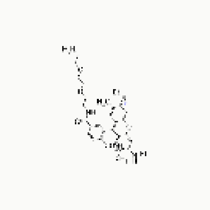 CC/N=c1/cc2oc3cc(NCC)c(C)cc3c(-c3cc(C(=O)NCCOCCOCCN)ccc3C(=O)O)c-2cc1C